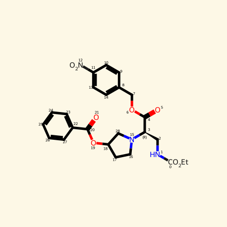 CCOC(=O)NC[C@H](C(=O)OCc1ccc([N+](=O)[O-])cc1)N1CCC(OC(=O)c2ccccc2)C1